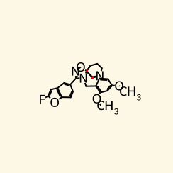 COc1ccc(CN2C(c3ccc4oc(F)cc4c3)=NOC23CN2CCC3CC2)c(OC)c1